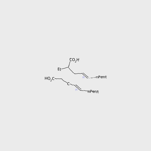 CCCCC/C=C/CC(CC)C(=O)O.CCCCC/C=C/CCC(=O)O